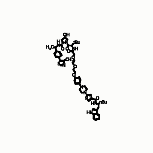 CCCCC(Cc1c[nH]c2ccccc12)NC(=O)c1cnc(N2CCN(c3ccc(OCCOCCOCC(=O)NC(C(=O)N4C[C@H](O)C[C@H]4C(=O)NC(C)c4ccc(-c5scnc5C)cc4)C(C)(C)C)cc3)CC2)s1